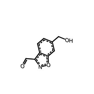 O=Cc1noc2cc(CO)ccc12